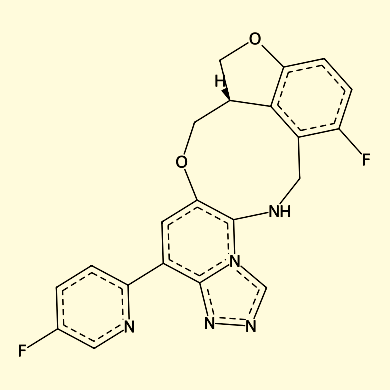 Fc1ccc(-c2cc3c(n4cnnc24)NCc2c(F)ccc4c2[C@@H](CO4)CO3)nc1